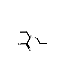 CCC[C@@H](CC)C(=O)O